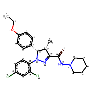 CCOc1ccc([C@@H]2[C@H](C)C(C(=S)NN3CCCCC3)=NN2c2ccc(Cl)cc2Cl)cc1